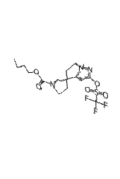 CCCCOC(=O)N1CCC2(CCn3nc(OS(=O)(=O)C(F)(F)F)cc32)C1